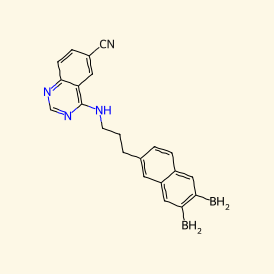 Bc1cc2ccc(CCCNc3ncnc4ccc(C#N)cc34)cc2cc1B